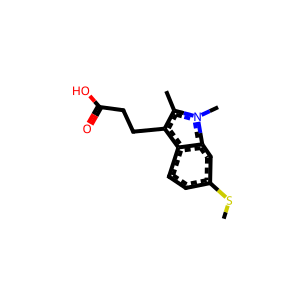 CSc1ccc2c(CCC(=O)O)c(C)n(C)c2c1